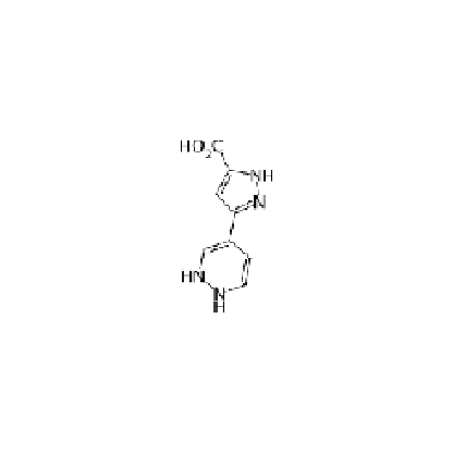 O=C(O)c1cc(C2=CNNC=C2)n[nH]1